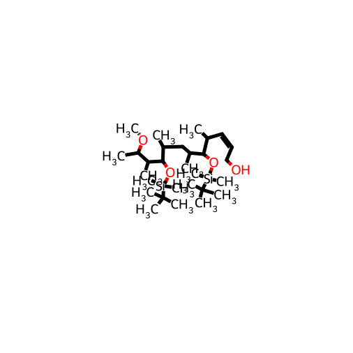 COC(C)C(C)C(O[Si](C)(C)C(C)(C)C)C(C)CC(C)C(O[Si](C)(C)C(C)(C)C)C(C)/C=C\CO